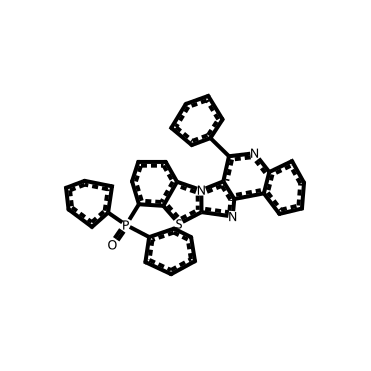 O=P(c1ccccc1)(c1ccccc1)c1cccc2c1sc1nc3c4ccccc4nc(-c4ccccc4)c3n12